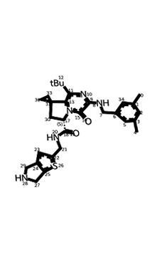 Cc1cc(C)cc(CNc2nc(C(C)(C)C)c3n(c2=O)[C@H](C(=O)NCc2cc4c(s2)CNC4)CC32CC2)c1